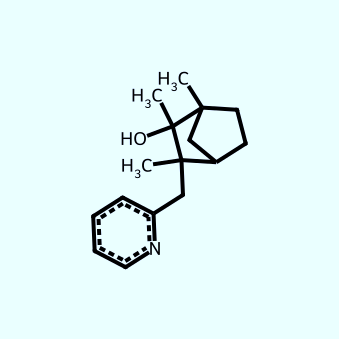 CC12CCC(C1)C(C)(Cc1ccccn1)C2(C)O